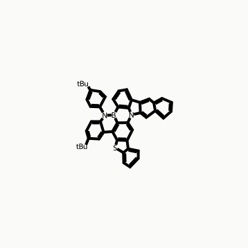 CC(C)(C)c1ccc(N2B3c4c(cc5c(sc6ccccc65)c4-c4cc(C(C)(C)C)ccc42)-n2c4cc5ccccc5cc4c4cccc3c42)cc1